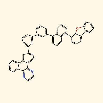 C1=CC(c2cccc3c(-c4cccc(-c5cccc(-c6ccc7c(c6)c6ccccc6c6nccnc76)c5)c4)cccc23)C2Oc3ccccc3C2=C1